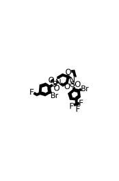 O=S(=O)(c1ccc(CF)cc1Br)N1CCC2(CC1)OCCN2S(=O)(=O)c1ccc(C(F)(F)F)cc1Br